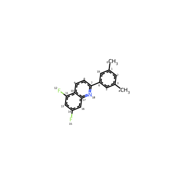 Cc1cc(C)cc(-c2ccc3c(F)cc(F)cc3n2)c1